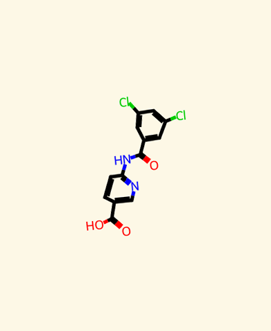 O=C(O)c1ccc(NC(=O)c2cc(Cl)cc(Cl)c2)nc1